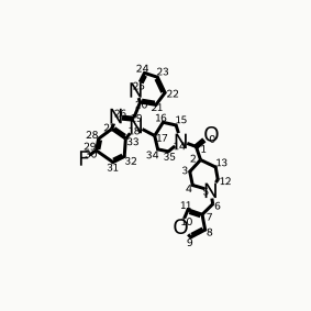 O=C(C1CCN(Cc2ccoc2)CC1)N1CCC(n2c(-c3ccccn3)nc3cc(F)ccc32)CC1